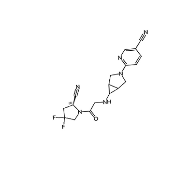 N#Cc1ccc(N2CC3C(C2)C3NCC(=O)N2CC(F)(F)C[C@H]2C#N)nc1